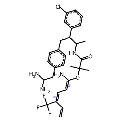 C=C/C(=C\C=C(/N)OC(C)(C)C(=O)NC(C)C(Cc1ccc(CC(N)N)cc1)c1cccc(Cl)c1)C(F)(F)F